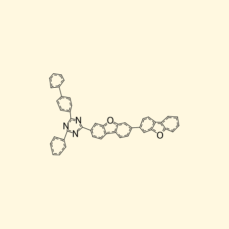 c1ccc(-c2ccc(-c3nc(-c4ccccc4)nc(-c4ccc5c(c4)oc4cc(-c6ccc7c(c6)oc6ccccc67)ccc45)n3)cc2)cc1